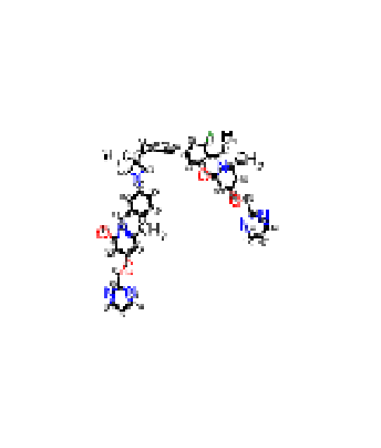 Cc1cc(OCc2ncccn2)cc(=O)n1Cc1cccc(N2CC(C)(C3CC3C#Cc3ccc([C@@H](C)n4c(C)cc(OCc5ncccn5)cc4=O)c(F)c3)C2)c1